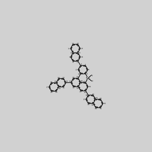 C[Si]1(C)c2ccc(-c3ccc4ccccc4c3)cc2-c2cc(-c3ccc4ccccc4c3)cc3cc(-c4ccc5ccccc5c4)cc1c23